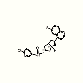 O=C(C[C@@H]1CC2CC(c3ccnc4ccc(F)cc34)=C[C@@H]2C1)Nc1ccc(Cl)nc1